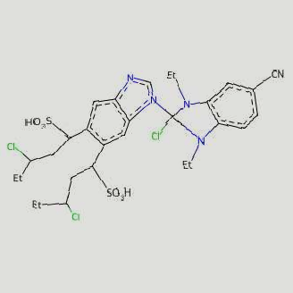 CCC(Cl)CC(c1cc2ncn(C3(Cl)N(CC)c4ccc(C#N)cc4N3CC)c2cc1C(CC(Cl)CC)S(=O)(=O)O)S(=O)(=O)O